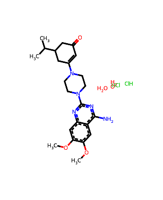 COc1cc2nc(N3CCN(C4=CC(=O)CC(C(C)C)C4)CC3)nc(N)c2cc1OC.Cl.Cl.O.O